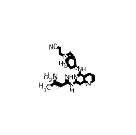 C/C(N)=C/C(=N)Nc1cc2ncccc2c(N[C@H]2C[C@@H]3CC2CN3CCC#N)n1